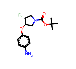 CC(C)(C)OC(=O)N1C[C@@H](F)[C@H](Oc2ccc(N)cc2)C1